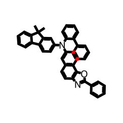 CC1(C)c2ccccc2-c2ccc(N(c3ccc4c(ccc5nc(-c6ccccc6)oc54)c3)c3ccccc3-c3ccccc3)cc21